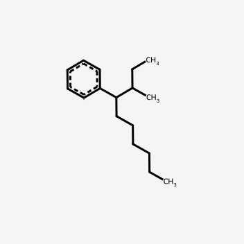 CCCCCCC(c1[c]cccc1)C(C)CC